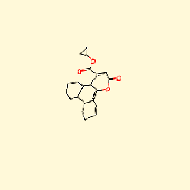 O=C(OC1CC1)c1cc(=O)oc2c1=C1C=CCCC1C1CCC=CC=21